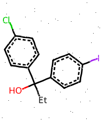 CCC(O)(c1ccc(Cl)cc1)c1ccc(I)cc1